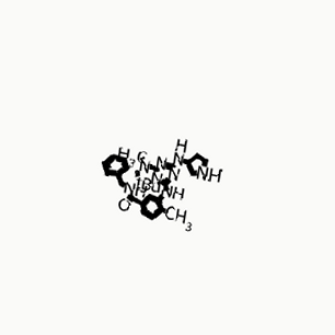 Cc1ccc(C(=O)NCc2ccccc2)cc1Nc1nc(NC2CCNC2)nc(N(C)CC(C)(C)C)n1